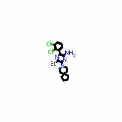 CCc1nc(-c2cccc(Cl)c2Cl)c(N)nc1N1CCC2(CCCC2)CC1